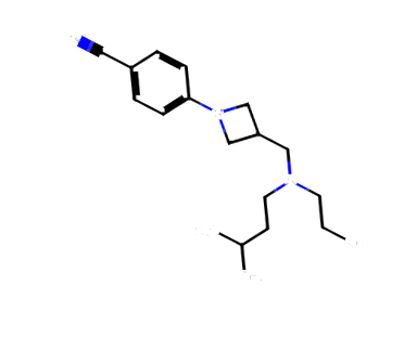 CCCN(CCC(C)C)CC1CN(c2ccc(C#N)cc2)C1